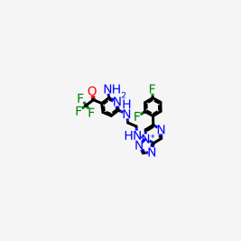 Nc1nc(NCCN[N+]23C=C(c4ccc(F)cc4F)N=CC2=NC=N3)ccc1C(=O)C(F)(F)F